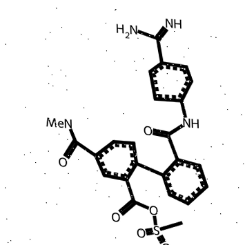 CNC(=O)c1ccc(-c2ccccc2C(=O)Nc2ccc(C(=N)N)cc2)c(C(=O)OS(C)(=O)=O)c1